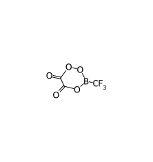 O=C1OOB(C(F)(F)F)OC1=O